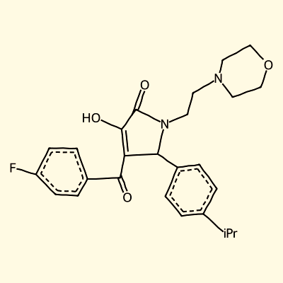 CC(C)c1ccc(C2C(C(=O)c3ccc(F)cc3)=C(O)C(=O)N2CCN2CCOCC2)cc1